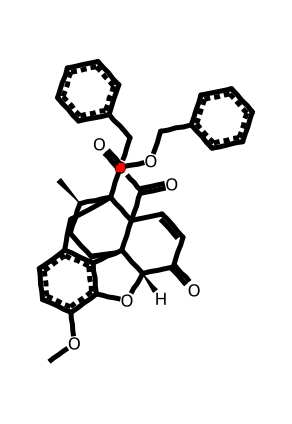 COc1ccc2c3c1O[C@H]1C(=O)C=CC4(C(=O)OCc5ccccc5)C(C(=O)OCc5ccccc5)(C2)[C@H](C)CC[C@]314